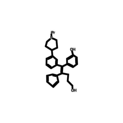 CC(C)N1CCC(c2cccc(/C(=C(/CCCO)c3ccccc3)c3cccc(O)c3)c2)CC1